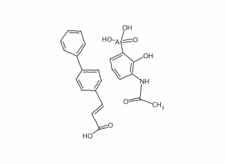 CC(=O)Nc1cccc([As](=O)(O)O)c1O.O=C(O)C=Cc1ccc(-c2ccccc2)cc1